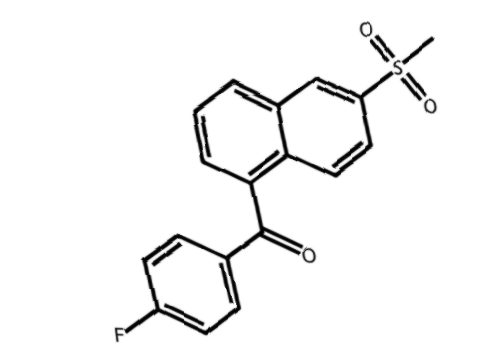 CS(=O)(=O)c1ccc2c(C(=O)c3ccc(F)cc3)cccc2c1